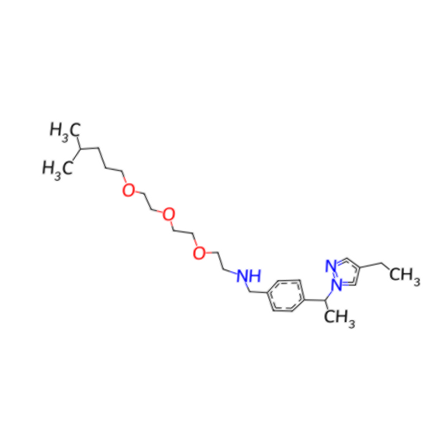 CCc1cnn(C(C)c2ccc(CNCCOCCOCCOCCCC(C)C)cc2)c1